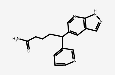 NC(=O)CCCC(c1cccnc1)c1cnc2[nH]ncc2c1